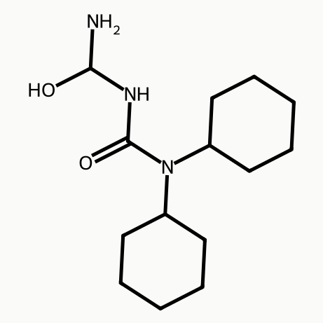 NC(O)NC(=O)N(C1CCCCC1)C1CCCCC1